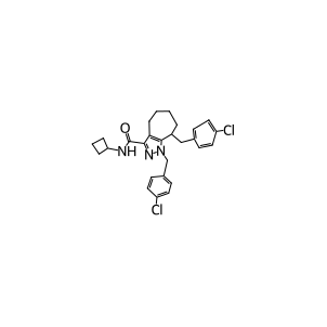 O=C(NC1CCC1)c1nn(Cc2ccc(Cl)cc2)c2c1CCCCC2Cc1ccc(Cl)cc1